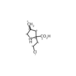 C=C1CNC(CCCl)(C(=O)O)C1